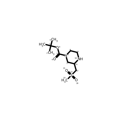 CC(C)(C)OC(=O)N1CCNC(CS(C)(=O)=O)C1